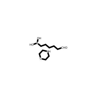 C1COCCN1.O=CCCCCCB(O)O